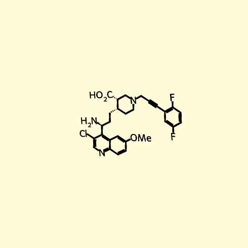 COc1ccc2ncc(Cl)c([C@@H](N)CC[C@H]3CCN(CC#Cc4cc(F)ccc4F)C[C@H]3C(=O)O)c2c1